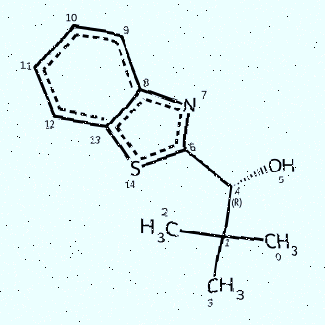 CC(C)(C)[C@@H](O)c1nc2ccccc2s1